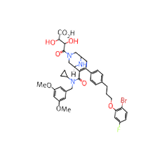 COc1cc(CN(C(=O)C2=C(c3ccc(CCCOc4cc(F)ccc4Br)cc3)CC3CN(C(=O)C(O)C(O)C(=O)O)C[C@H]2N3)C2CC2)cc(OC)c1